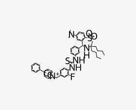 CCCCC1(CCCC)CS(=O)(=O)c2ccc(N(C)C)cc2C(c2cccc(NC(=S)Nc3ccc(C[N+]45CCC(c6ccccc6)(CC4)CC5)cc3F)c2)N1